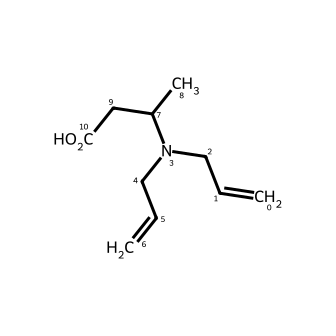 C=CCN(CC=C)C(C)CC(=O)O